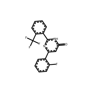 O=c1cc(-c2ccccc2F)nc(-c2ccccc2C(F)(F)F)[nH]1